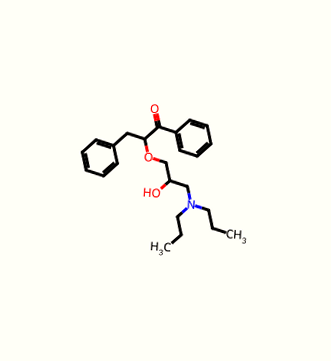 CCCN(CCC)CC(O)COC(Cc1ccccc1)C(=O)c1ccccc1